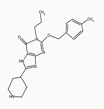 CCCn1c(OCc2ccc(C)cc2)nc2nc(C3CCNCC3)[nH]c2c1=O